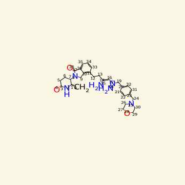 C=C1NC(=O)CCC1N1Cc2c(CC/C(N)=C/N(N)Cc3ccc(CN4CCOCC4)cc3)cccc2C1=O